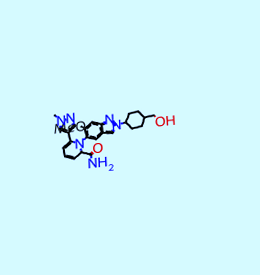 COc1cc2nn(C3CCC(CO)CC3)cc2cc1N1C(c2cnn(C)c2)=CC=CC1C(N)=O